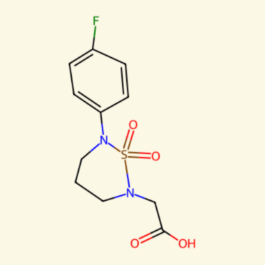 O=C(O)CN1CCCN(c2ccc(F)cc2)S1(=O)=O